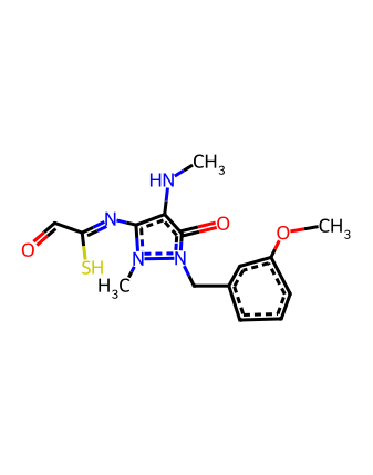 CNc1c(/N=C(\S)C=O)n(C)n(Cc2cccc(OC)c2)c1=O